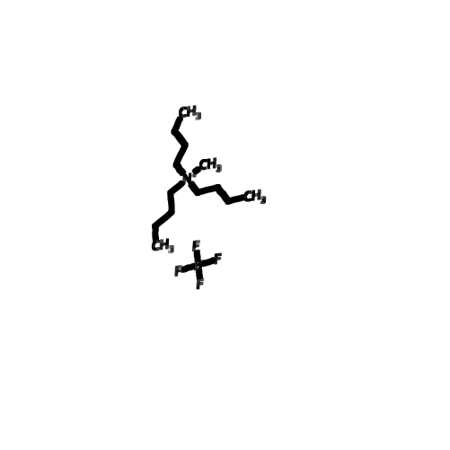 CCCC[N+](C)(CCCC)CCCC.F[B-](F)(F)F